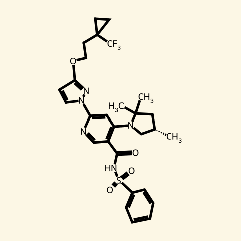 C[C@@H]1CN(c2cc(-n3ccc(OCCC4(C(F)(F)F)CC4)n3)ncc2C(=O)NS(=O)(=O)c2ccccc2)C(C)(C)C1